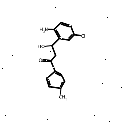 Cc1ccc(C(=O)CC(O)c2cc(Cl)ccc2N)cc1